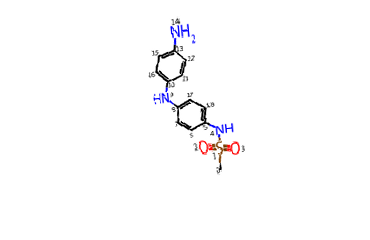 CS(=O)(=O)Nc1ccc(Nc2ccc(N)cc2)cc1